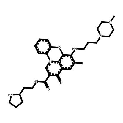 CN1CCN(CCCNc2c(F)cc3c(=O)c(C(=O)NCCC4CCCN4)cn4c3c2Oc2ccccc2-4)CC1